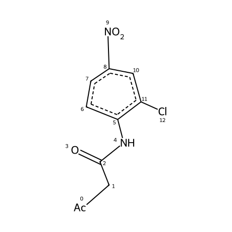 CC(=O)CC(=O)Nc1ccc([N+](=O)[O-])cc1Cl